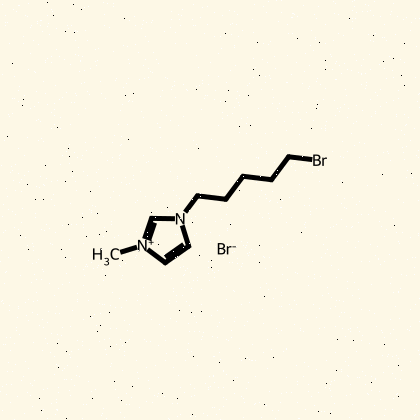 C[n+]1ccn(CCCCCBr)c1.[Br-]